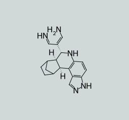 N=C/C(=C\N)[C@@H]1Nc2ccc3[nH]ncc3c2[C@H]2C3CCC(C3)[C@@H]12